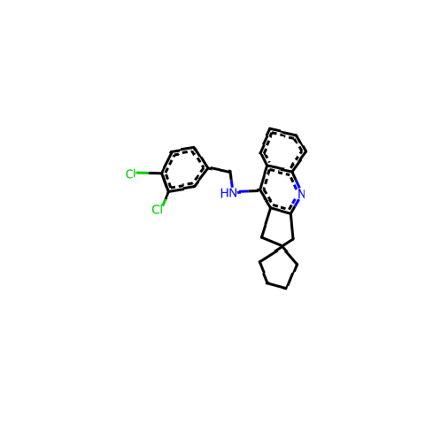 Clc1ccc(CNc2c3c(nc4ccccc24)CC2(CCCC2)C3)cc1Cl